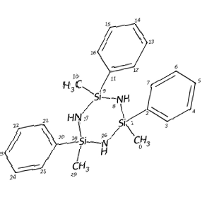 C[Si]1(c2ccccc2)N[Si](C)(c2ccccc2)N[Si](C)(c2ccccc2)N1